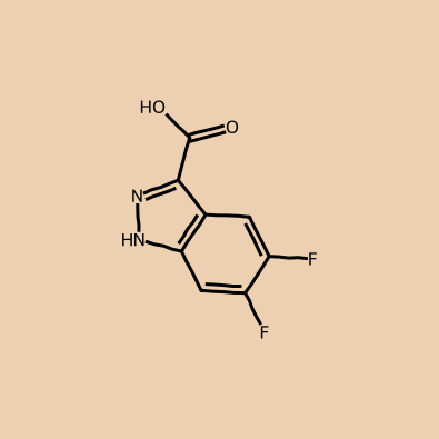 O=C(O)c1n[nH]c2cc(F)c(F)cc12